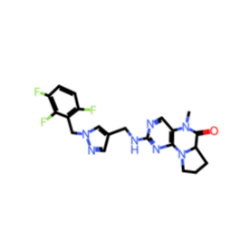 CN1C(=O)C2CCCN2c2nc(NCc3cnn(Cc4c(F)ccc(F)c4F)c3)ncc21